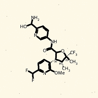 COc1nc(C(F)F)ccc1[C@@H]1C(C(=O)Nc2ccc(C(N)O)nc2)O[C@](C)(C(F)(F)F)[C@@H]1C